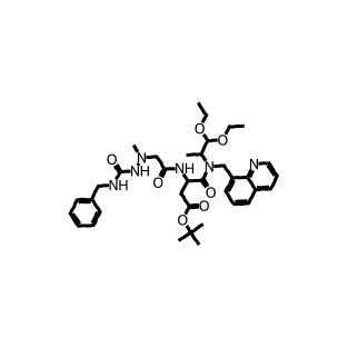 CCOC(OCC)C(C)N(Cc1cccc2cccnc12)C(=O)C(CC(=O)OC(C)(C)C)NC(=O)CN(C)NC(=O)NCc1ccccc1